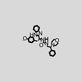 COc1ccc(C[C@@H](NC(=O)NCC(c2ccccc2)N2CCOCC2)c2nc3ccccc3[nH]2)cc1